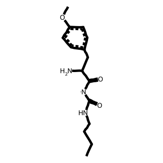 CCCCNC(=O)[N]C(=O)C(N)Cc1ccc(OC)cc1